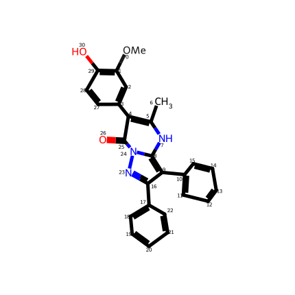 COc1cc(-c2c(C)[nH]c3c(-c4ccccc4)c(-c4ccccc4)nn3c2=O)ccc1O